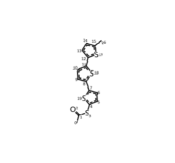 CC(=O)Sc1ccc(-c2ccc(-c3ccc(C)s3)s2)s1